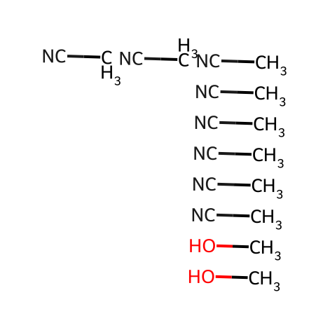 CC#N.CC#N.CC#N.CC#N.CC#N.CC#N.CC#N.CC#N.CO.CO